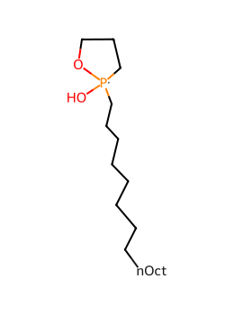 CCCCCCCCCCCCCCCC[P]1(O)CCCO1